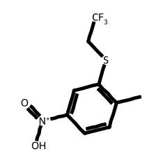 Cc1ccc([N+](=O)O)cc1SCC(F)(F)F